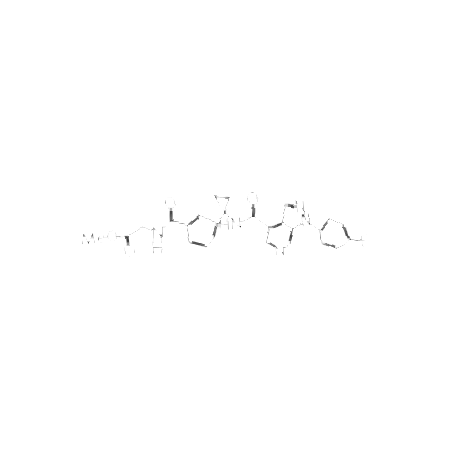 COC(=O)CNC(=O)c1cccc(C2(NC(=O)c3cncc4c3cnn4-c3ccc(F)cc3)CC2)c1